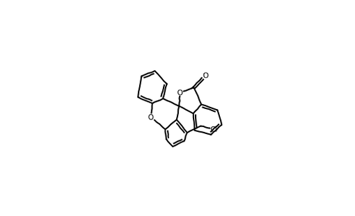 O=C1OC2(c3ccccc3Oc3cccc(CCl)c32)c2ccccc21